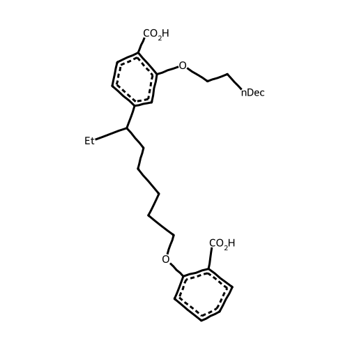 CCCCCCCCCCCCOc1cc(C(CC)CCCCCOc2ccccc2C(=O)O)ccc1C(=O)O